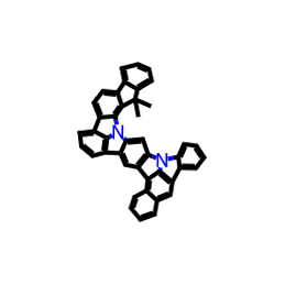 CC1(C)c2ccccc2-c2ccc3c4cccc5c6cc7c8c9ccccc9cc9c%10ccccc%10n(c7cc6n(c3c21)c54)c98